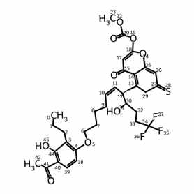 CCCc1c(OCCCC/C=C\[C@@H](C2=c3c(=O)cc(OC(=O)OC)oc3=CC(=S)C2)[C@H](O)CCC(F)(F)F)ccc(C(C)=O)c1O